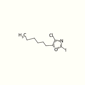 CCCCCCc1oc(I)nc1Cl